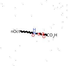 CCCCCCCCC=CCCCCCCCC(=O)NCCOCCOC(=O)CCC(=O)O